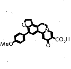 COc1ccc(-c2cc3c(c4c2OCC4)CCn2cc(C(=O)O)c(=O)cc2-3)cc1